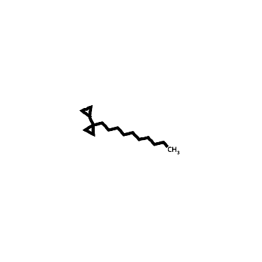 CCCCCCCCCCC1([C]2CC2)CC1